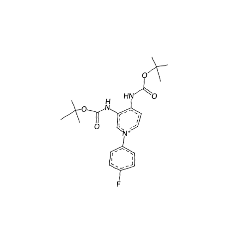 CC(C)(C)OC(=O)Nc1cc[n+](-c2ccc(F)cc2)cc1NC(=O)OC(C)(C)C